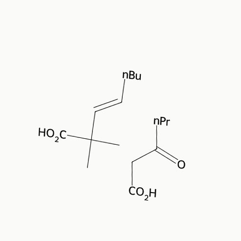 CCCC(=O)CC(=O)O.CCCCC=CC(C)(C)C(=O)O